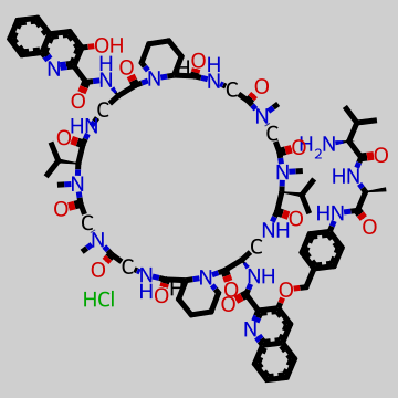 CC(C)[C@H](N)C(=O)N[C@@H](C)C(=O)Nc1ccc(COc2cc3ccccc3nc2C(=O)N[C@@H]2CNC(=O)[C@H](C(C)C)N(C)C(=O)CN(C)C(=O)CNC(=O)[C@@H]3CCCCN3C(=O)[C@H](NC(=O)c3nc4ccccc4cc3O)CNC(=O)[C@H](C(C)C)N(C)C(=O)CN(C)C(=O)CNC(=O)[C@@H]3CCCCN3C2=O)cc1.Cl